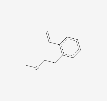 C=Cc1ccccc1CC[Si]C